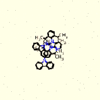 CC(C)c1cccc(C(C)C)c1-n1c(=Nn2c3ccccc3c3cc(-n4c5ccccc5c5ccccc54)ccc32)n(-c2c(C(C)C)cccc2C(C)C)c2ncccc21